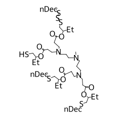 CCCCCCCCCCSCC(CC)OC(=O)CCN(CCCN(C)CCCN(CCC(=O)OC(CC)CS)CCC(=O)OC(CC)CSSSCCCCCCCCCC)CCC(=O)OC(CC)CSCCCCCCCCCC